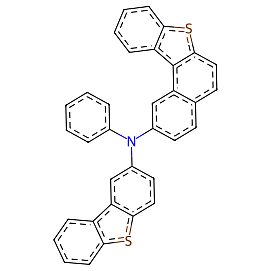 c1ccc(N(c2ccc3sc4ccccc4c3c2)c2ccc3ccc4sc5ccccc5c4c3c2)cc1